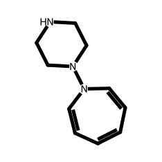 C1=CC=CN(N2CCNCC2)C=C1